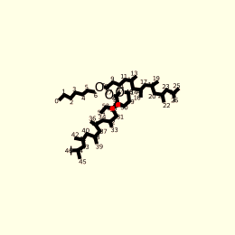 CCCCCCCOC(CCCC(C)CC(C)CC(C)CC(C)CC(C)I)OC(CCCC(C)CC(C)CC(C)CC(C)CC(C)I)OCCCCCCC